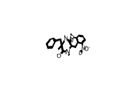 COc1cccc([N+](=O)[O-])c1CC1C(=O)N(C)C(C)(Cc2ccccc2)C(=O)N1C